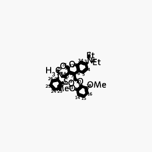 CCN(CC)c1ccc2c(C(=O)Oc3c(OC)cccc3OC)c(-c3sc4ccccc4[n+]3C)c(=O)oc2c1